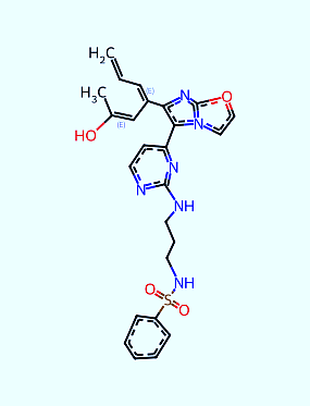 C=C/C=C(\C=C(/C)O)c1nc2occn2c1-c1ccnc(NCCCNS(=O)(=O)c2ccccc2)n1